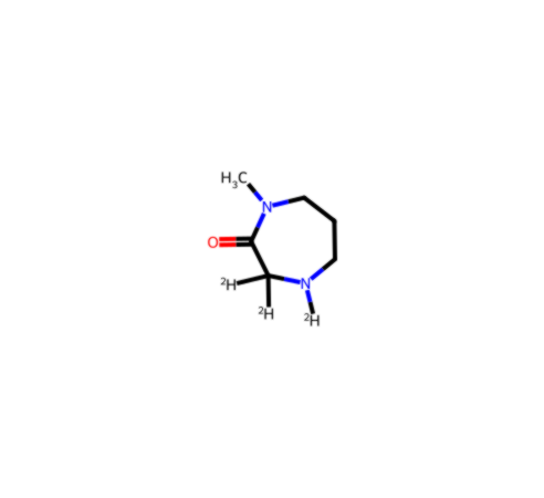 [2H]N1CCCN(C)C(=O)C1([2H])[2H]